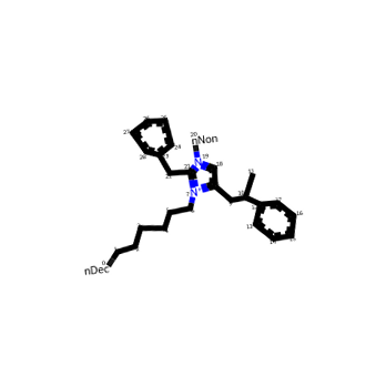 CCCCCCCCCCCCCCCC[n+]1c(CC(C)c2ccccc2)cn(CCCCCCCCC)c1Cc1ccccc1